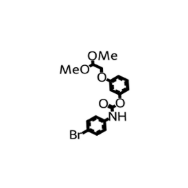 COC(COc1cccc(OC(=O)Nc2ccc(Br)cc2)c1)OC